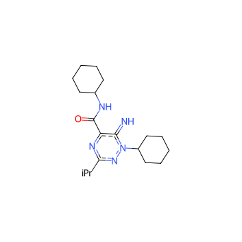 CC(C)c1nc(C(=O)NC2CCCCC2)c(=N)n(C2CCCCC2)n1